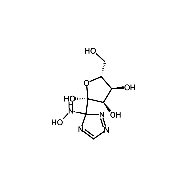 OC[C@H]1O[C@](O)(C2(NO)N=CN=N2)[C@H](O)[C@@H]1O